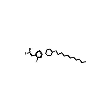 CCCCCCCCCCC[C@H]1CC[C@H](c2ccc(C=C(F)F)c(F)c2)CC1